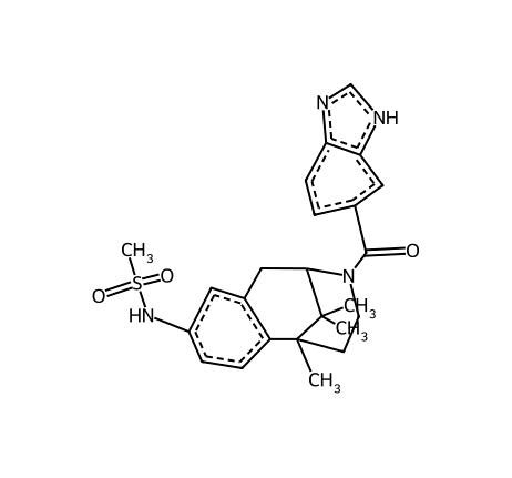 CC12CCN(C(=O)c3ccc4nc[nH]c4c3)C(Cc3cc(NS(C)(=O)=O)ccc31)C2(C)C